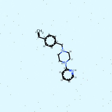 C=Cc1ccc(CN2CCN(c3ccccn3)CC2)cc1